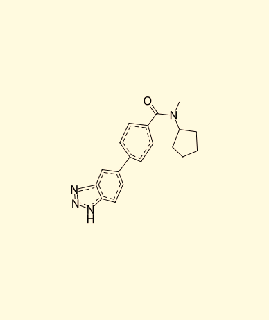 CN(C(=O)c1ccc(-c2ccc3[nH]nnc3c2)cc1)C1CCCC1